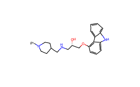 CC(C)N1CCC(CNC[C@H](O)COc2cccc3[nH]c4ccccc4c23)CC1